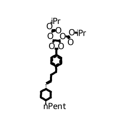 CCCCC[C@H]1CC[C@H](/C=C/CCc2ccc(C3O[C@H](OC(=O)OC(C)C)[C@@H](OC(=O)OC(C)C)O3)cc2)CC1